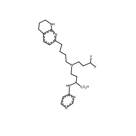 O=C(O)C(CCN(CCCCc1ccc2c(n1)NCCC2)CCC(F)F)Nc1ccncn1